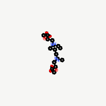 c1ccc(-c2cc(-c3ccc(-c4cccc(-c5ccccc5-c5cc(-c6ccc7ccccc7c6)nc(-c6cccc(-c7ccc8c(c7)C7(c9ccccc9O8)c8ccccc8-c8ccccc87)c6)n5)c4)cc3)nc(-c3cccc(-c4ccc5c(c4)C4(c6ccccc6O5)c5ccccc5-c5ccccc54)c3)n2)cc1